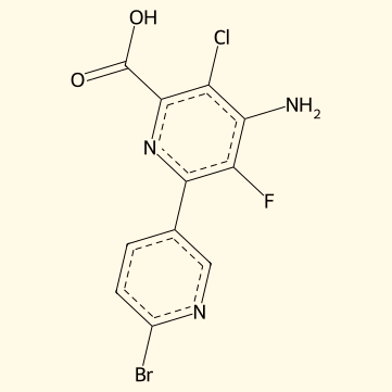 Nc1c(F)c(-c2ccc(Br)nc2)nc(C(=O)O)c1Cl